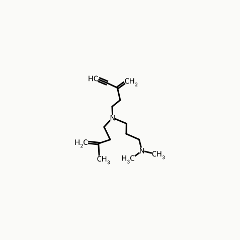 C#CC(=C)CCN(CCCN(C)C)CCC(=C)C